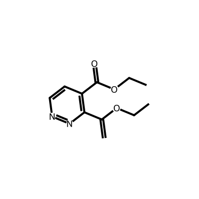 C=C(OCC)c1nnccc1C(=O)OCC